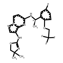 C[C@@H](Nc1ccn2ncc(NC3=NC(C)(C)CO3)c2n1)c1cc(F)ccc1OCC(F)(F)F